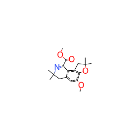 COC(=O)C1=NC(C)(C)Cc2cc(OC)c3c(c21)CC(C)(C)O3